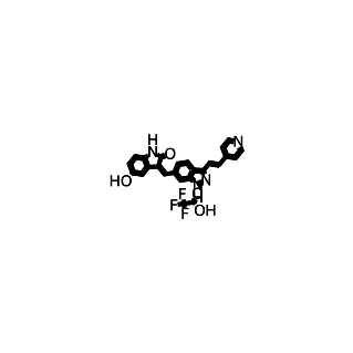 O=C(O)C(F)(F)F.O=C1Nc2ccc(O)cc2C1=Cc1ccc2c(C=Cc3ccncc3)n[nH]c2c1